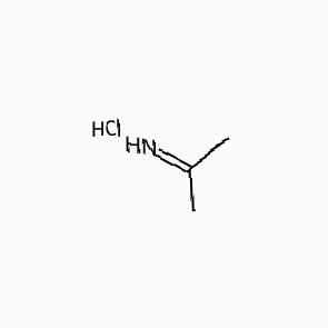 CC(C)=N.Cl